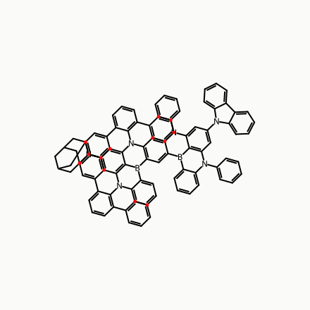 c1ccc(-c2cccc(-c3ccccc3)c2N2c3ccccc3B3c4cc5c(cc4N(c4c(-c6ccccc6)cccc4-c4ccccc4)c4cc(N6C7CC8CC(C7)CC6C8)cc2c43)N(c2ccccc2)c2cc(-n3c4ccccc4c4ccccc43)cc3c2B5c2ccccc2N3c2ccccc2)cc1